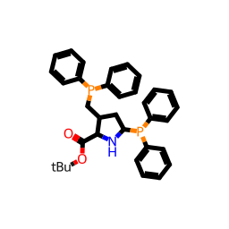 CC(C)(C)OC(=O)C1NC(P(c2ccccc2)c2ccccc2)CC1CP(c1ccccc1)c1ccccc1